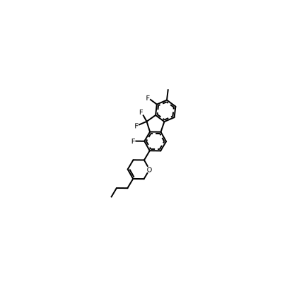 CCCC1=CCC(c2ccc3c(c2F)C(F)(F)c2c-3ccc(C)c2F)OC1